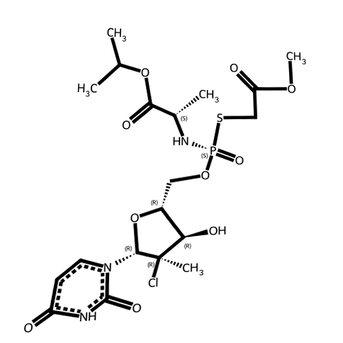 COC(=O)CS[P@](=O)(N[C@@H](C)C(=O)OC(C)C)OC[C@H]1O[C@@H](n2ccc(=O)[nH]c2=O)[C@](C)(Cl)[C@@H]1O